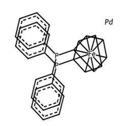 [Pd].c1ccc(P(c2ccccc2)[C]23[CH]4[CH]5[CH]6[CH]2[Fe]56432789[CH]3[CH]2[CH]7[C]8(P(c2ccccc2)c2ccccc2)[CH]39)cc1